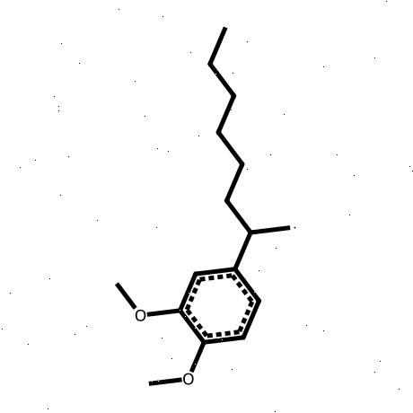 [CH2]C(CCCCCC)c1ccc(OC)c(OC)c1